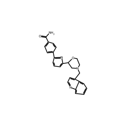 NC(=O)c1ccc(-c2cccc(C3CN(Cc4ccnc5ccccc45)CCO3)n2)cc1